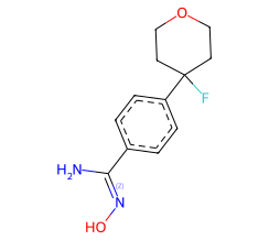 N/C(=N\O)c1ccc(C2(F)CCOCC2)cc1